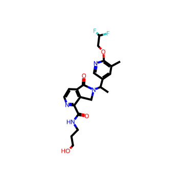 Cc1cc(C(C)N2Cc3c(ccnc3C(=O)NCCCO)C2=O)cnc1OCC(F)F